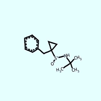 CC(C)(C)N[S+]([O-])C1(Cc2ccccc2)CC1